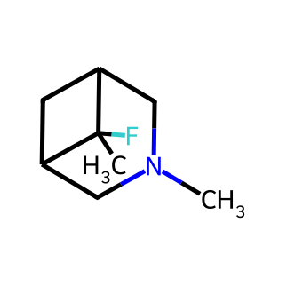 CN1CC2CC(C1)C2(C)F